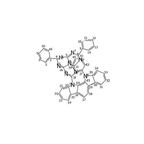 c1ccc(C2=NC3=NC(c4ccccc4)=NC4=NC(n5c6ccccc6c6ccc7c8ccccc8n(-c8ccccc8)c7c65)=NC(=N2)N34)cc1